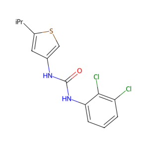 CC(C)c1cc(NC(=O)Nc2cccc(Cl)c2Cl)cs1